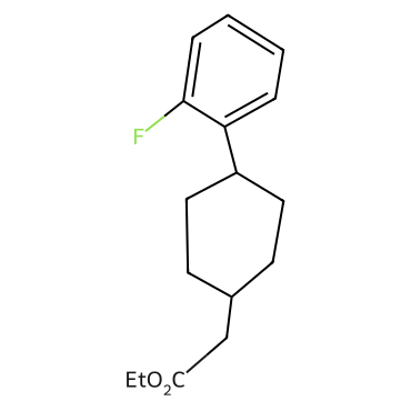 CCOC(=O)CC1CCC(c2ccccc2F)CC1